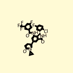 O=C(Nc1cc(-c2ccc(=O)n(C3CC3)c2)cc2c1[C@H](c1cc(F)ccc1Cl)NC2=O)c1cc(F)cc(C(F)(F)F)c1